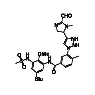 COc1c(NC(=O)c2ccc(C)c(N3C=C(C4CN=C(C=O)N4C)NN3)c2)cc(C(C)(C)C)cc1NS(C)(=O)=O